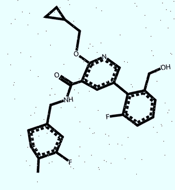 Cc1ccc(CNC(=O)c2cc(-c3c(F)cccc3CO)cnc2OCC2CC2)cc1F